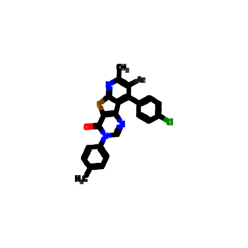 CC(=O)c1c(C)nc2sc3c(=O)n(-c4ccc(C)cc4)cnc3c2c1-c1ccc(Cl)cc1